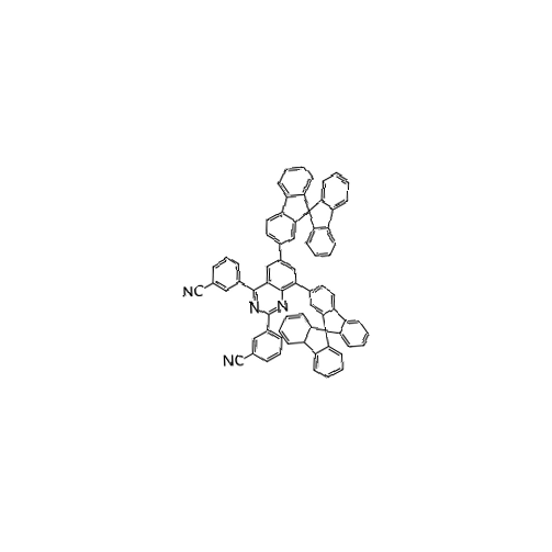 N#Cc1cccc(-c2nc(-c3cccc(C#N)c3)c3cc(-c4ccc5c(c4)C4(c6ccccc6-c6ccccc64)c4ccccc4-5)cc(-c4ccc5c(c4)C4(c6ccccc6-5)c5ccccc5C5C=CC=CC54)c3n2)c1